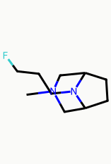 CN1CC2CCC(C1)N2CCCF